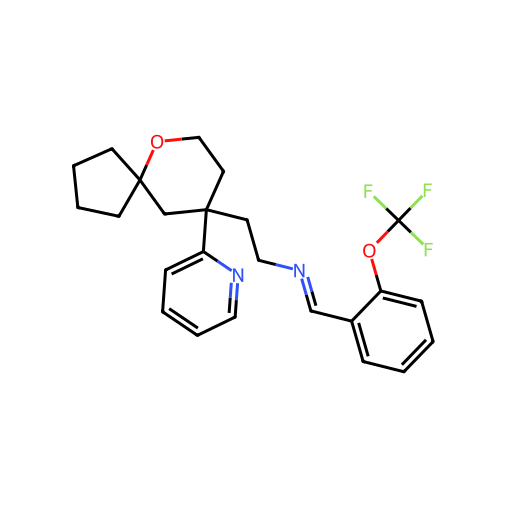 FC(F)(F)Oc1ccccc1C=NCCC1(c2ccccn2)CCOC2(CCCC2)C1